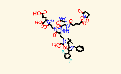 CC(C)(C)[C@H](c1cc(-c2cc(F)ccc2F)cn1Cc1ccccc1)N(CC[C@H](NC(=O)[C@H](CC(N)=O)NC(=O)CCCC(=O)ON1C(=O)CCC1=O)C(=O)NCCC(=O)N[C@H](CCC(=O)O)C(=O)O)C(O)CO